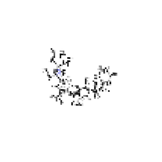 C=C/C(=C(\C=C)C(F)(F)F)[C@H]1CC[C@H](Nc2cc(F)c(S(=O)(=O)Nc3ccncn3)cc2Cl)[C@@H](N(C)C)C1